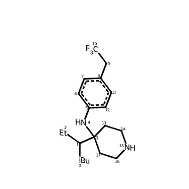 CCC(C)C(CC)C1(Nc2ccc(CC(F)(F)F)cc2)CCNCC1